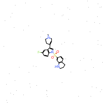 CN1CC=C(c2cn(S(=O)(=O)c3ccc4c(c3)NCCC4)c3ccc(F)cc23)CC1